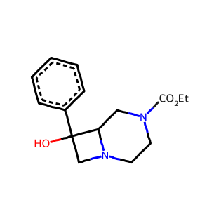 CCOC(=O)N1CCN2CC(O)(c3ccccc3)C2C1